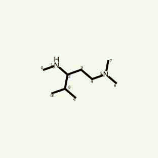 CNC(CCN(C)C)C(C)C